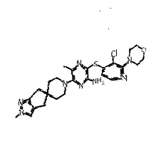 Cc1nc(Sc2ccnc(N3CCOCC3)c2Cl)c(N)nc1N1CCC2(CC1)Cc1cn(C)nc1C2